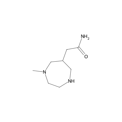 CN1CCNCC(CC(N)=O)C1